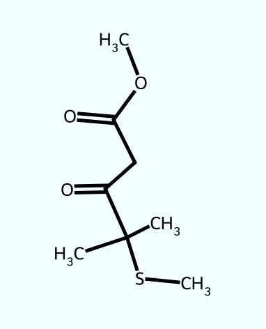 COC(=O)CC(=O)C(C)(C)SC